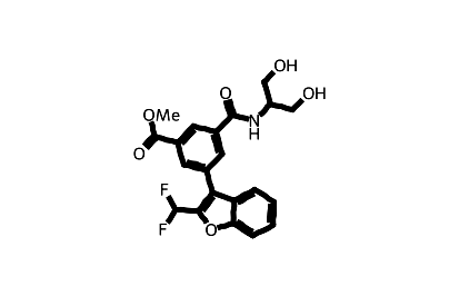 COC(=O)c1cc(C(=O)NC(CO)CO)cc(-c2c(C(F)F)oc3ccccc23)c1